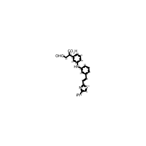 CC(C)c1csc(C=Cc2cccc(Nc3cccc(C(CC=O)C(=O)O)c3)c2)n1